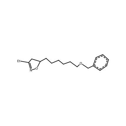 [CH2]CC1=NOC(CCCCCCOCc2ccccc2)C1